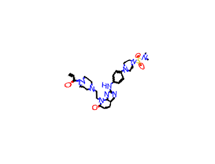 C=CC(=O)N1CCN(CCn2c(=O)ccc3cnc(Nc4ccc(N5CCN(S(=O)(=O)N(C)C)CC5)cc4)nc32)CC1